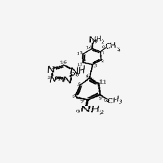 Cc1cc(-c2ccc(N)c(C)c2)ccc1N.c1nnn[nH]1